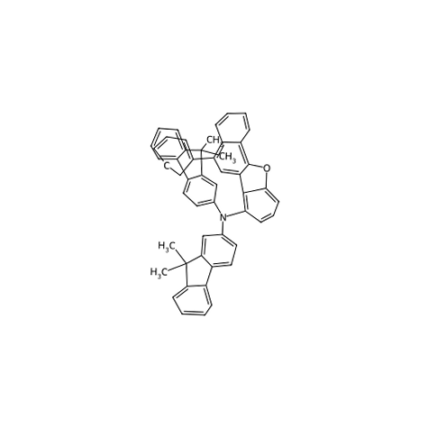 CC1(C)c2ccccc2-c2ccc(N(c3ccc4c(c3)C(C)(C)c3ccccc3-4)c3cccc4oc5c6ccccc6c(C6=CC=CCC6)cc5c34)cc21